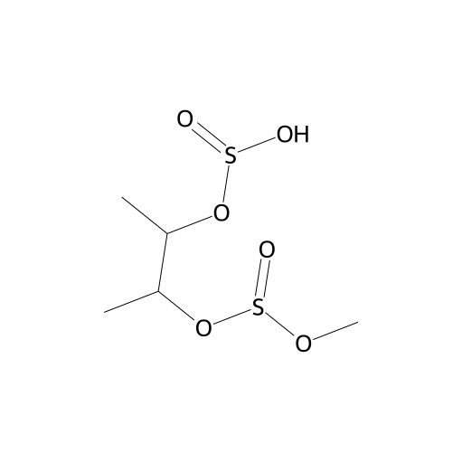 COS(=O)OC(C)C(C)OS(=O)O